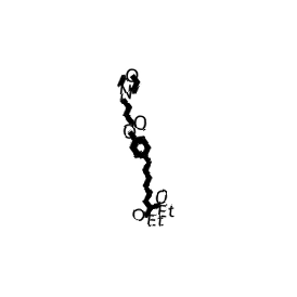 CCC(=O)C(CCCCCCc1ccc(OC(=O)CCCN2CCOCC2)cc1)C(=O)CC